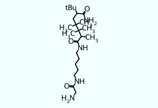 CC(C(=O)NCCCCCNC(=O)CN)C(C)(C)C(C)(C)CC(C(N)=O)C(C)(C)C